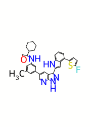 Cc1cc(NC2(C3CCCCC3)CO2)cc(-c2cnc3[nH]nc(-c4cc5c(-c6ccc(F)s6)cccc5[nH]4)c3c2)c1